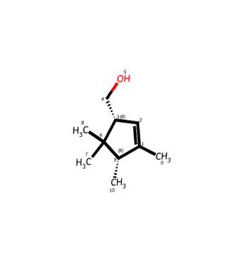 CC1=C[C@@H](CO)C(C)(C)[C@H]1C